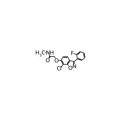 CNC(=O)COc1ccc2c(-c3ccccc3F)noc2c1Cl